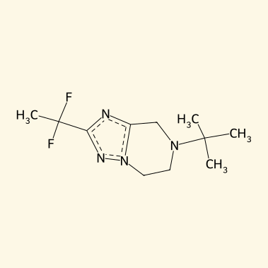 CC(F)(F)c1nc2n(n1)CCN(C(C)(C)C)C2